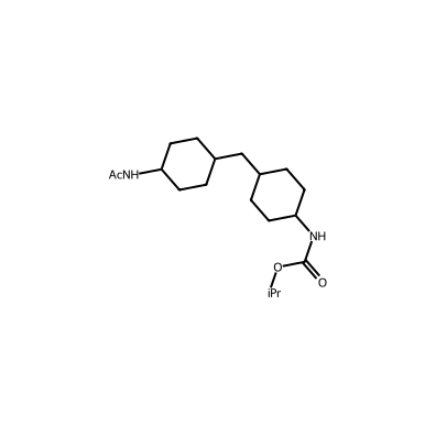 CC(=O)NC1CCC(CC2CCC(NC(=O)OC(C)C)CC2)CC1